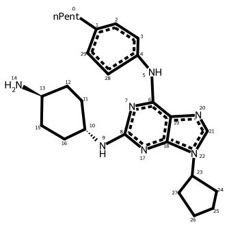 CCCCCc1ccc(Nc2nc(N[C@H]3CC[C@H](N)CC3)nc3c2ncn3C2CCCC2)cc1